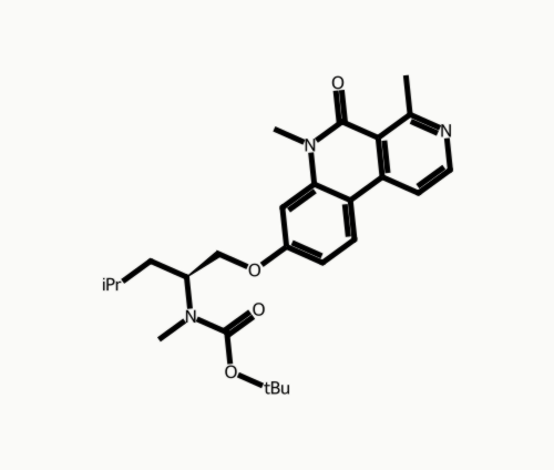 Cc1nccc2c1c(=O)n(C)c1cc(OC[C@H](CC(C)C)N(C)C(=O)OC(C)(C)C)ccc21